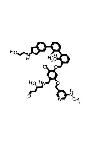 CNc1cncc(COc2cc(OCc3cccc(-c4cccc(-c5ccc6c(c5)CC(NCCO)C6)c4C)c3C)c(Cl)cc2CNC[C@@H](O)CC=O)c1